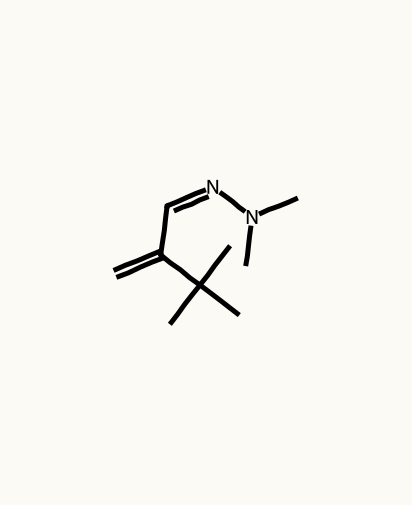 C=C(/C=N\N(C)C)C(C)(C)C